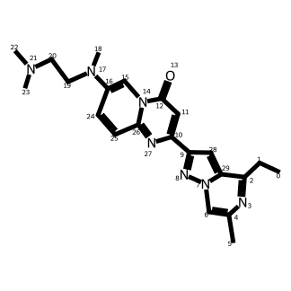 CCc1nc(C)cn2nc(-c3cc(=O)n4cc(N(C)CCN(C)C)ccc4n3)cc12